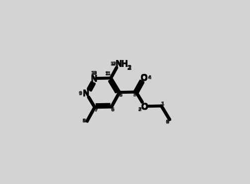 CCOC(=O)c1cc(C)nnc1N